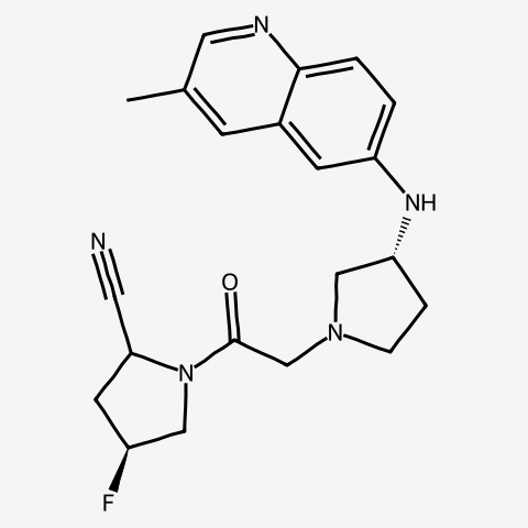 Cc1cnc2ccc(N[C@@H]3CCN(CC(=O)N4C[C@@H](F)CC4C#N)C3)cc2c1